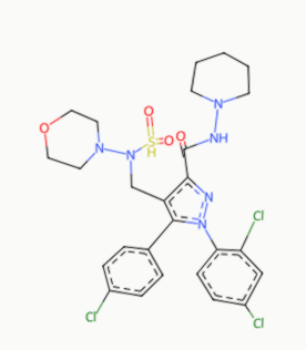 O=C(NN1CCCCC1)c1nn(-c2ccc(Cl)cc2Cl)c(-c2ccc(Cl)cc2)c1CN(N1CCOCC1)[SH](=O)=O